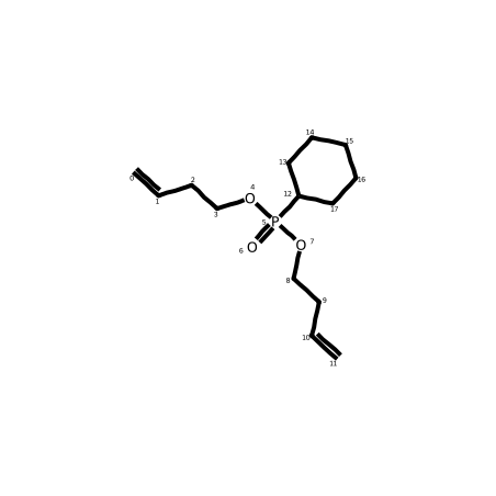 C=CCCOP(=O)(OCCC=C)C1CCCCC1